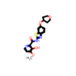 COc1ccnc(C(=O)Nc2nc3ccc(OC4CCOCC4)cc3s2)c1O